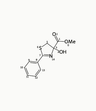 COC(=O)C1(O)CSC(c2ccccc2)=N1